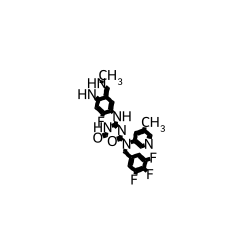 CN/C=C1/C=C(N/C(=N/C(=O)N(Cc2cc(F)c(F)c(F)c2)c2cncc(C)c2)NC=O)C(F)=CC1=N